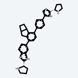 c1cc(-c2ccc(-c3ccc4nc([C@@H]5CCCN5)[nH]c4c3)c3c2C2CCC2C3)ccc1-c1cnc([C@@H]2CCCN2)[nH]1